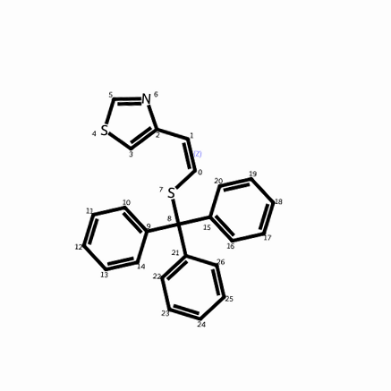 C(=C/c1cscn1)/SC(c1ccccc1)(c1ccccc1)c1ccccc1